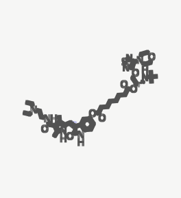 CCN(CC)CCNC(=O)c1c(C)[nH]c(/C=C2\C(=O)Nc3ccc(OC(=O)CCCCCCC(=O)O[C@@H](CNC(C)(C)C)COc4nsnc4N4CCOCC4)cc32)c1C